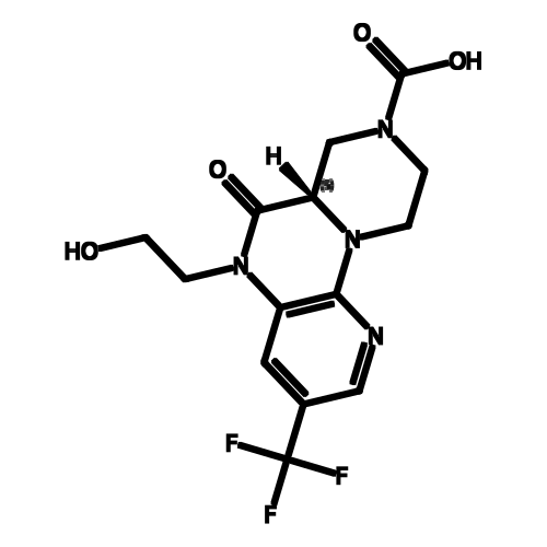 O=C(O)N1CCN2c3ncc(C(F)(F)F)cc3N(CCO)C(=O)[C@@H]2C1